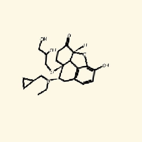 CCN(CC1CC1)[C@@H]1Cc2ccc(O)c3c2C2[C@@H](O3)C(=O)CC[C@]21OCC(O)CO